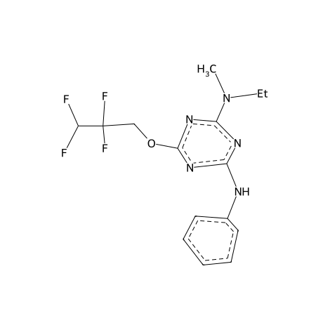 CCN(C)c1nc(Nc2ccccc2)nc(OCC(F)(F)C(F)F)n1